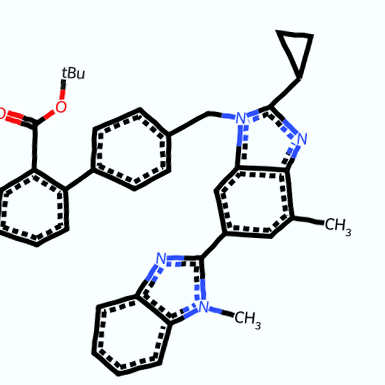 Cc1cc(-c2nc3ccccc3n2C)cc2c1nc(C1CC1)n2Cc1ccc(-c2ccccc2C(=O)OC(C)(C)C)cc1